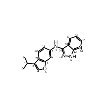 CC(C)c1coc2cc(Nc3n[nH]c4ncccc34)ccc12